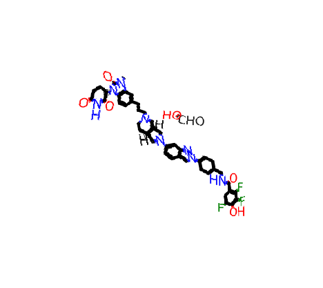 Cn1c(=O)n([C@@H]2CCC(=O)NC2=O)c2ccc(CCCN3CC[C@@H]4CN(c5ccc6cn(C7CCC(CNC(=O)c8cc(F)c(O)c(F)c8F)CC7)nc6c5)C[C@H]4C3)cc21.O=CO